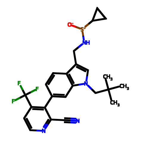 CC(C)(C)Cn1cc(CN[S+]([O-])C2CC2)c2ccc(-c3c(C(F)(F)F)ccnc3C#N)cc21